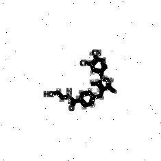 Cc1nn(-c2ccc(C#N)c(Cl)c2)c(C)c1Cc1ccc(C(=O)NCCO)cc1